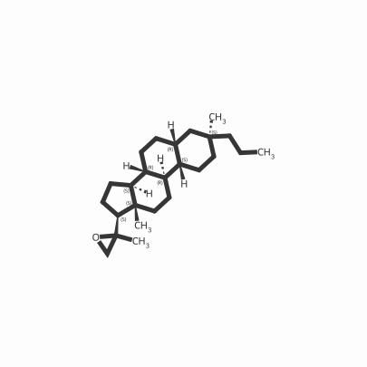 CCC[C@@]1(C)CC[C@H]2[C@H](CC[C@@H]3[C@@H]2CC[C@]2(C)[C@@H](C4(C)CO4)CC[C@@H]32)C1